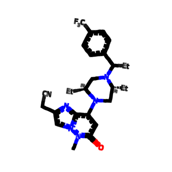 CCC(c1ccc(C(F)(F)F)cc1)N1C[C@H](CC)N(c2cc(=O)n(C)n3cc(CC#N)nc23)C[C@H]1CC